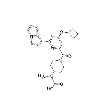 CN(C(=O)O)C1CCN(C(=O)c2cc(OC3CCC3)nc(-c3cnn4ccsc34)n2)CC1